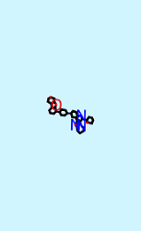 c1ccc(-c2nc3ccc(-c4ccc(-c5cccc6c5oc5ccccc56)cc4)cc3c3nc4ccccn4c23)cc1